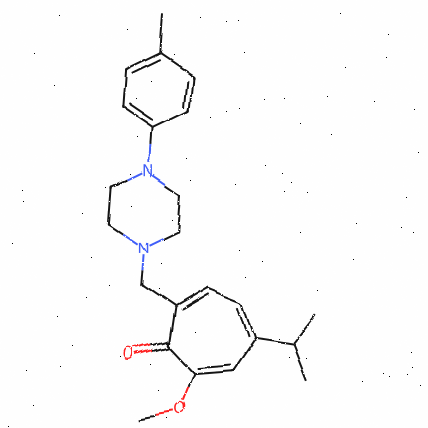 COc1cc(C(C)C)ccc(CN2CCN(c3ccc(C)cc3)CC2)c1=O